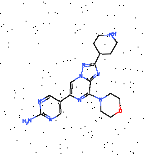 Nc1ncc(-c2cn3nc(C4CCNCC4)nc3c(N3CCOCC3)n2)cn1